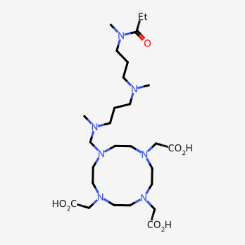 CCC(=O)N(C)CCCN(C)CCCN(C)CN1CCN(CC(=O)O)CCN(CC(=O)O)CCN(CC(=O)O)CC1